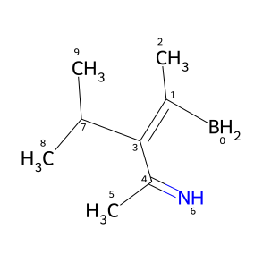 B/C(C)=C(\C(C)=N)C(C)C